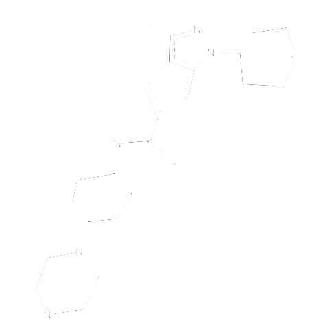 Cc1nn(C2CCOCC2)c2sc(C(=O)N[C@H]3CC[C@@H](N4CCNCC4)CC3)cc12